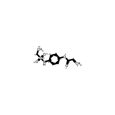 C=CC(=O)Oc1ccc(NS(=O)(=O)CC)cc1